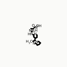 Cc1nc2ccccn2c1-c1ccnc(Nc2ncc(C(=O)NO)s2)c1